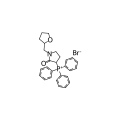 O=C1C([P+](c2ccccc2)(c2ccccc2)c2ccccc2)CCN1CC1CCCO1.[Br-]